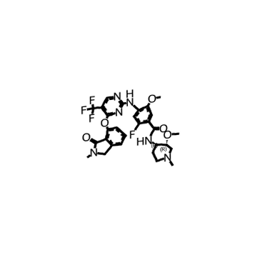 COc1cc(C(=O)N[C@@H]2CCN(C)C[C@H]2OC)c(F)cc1Nc1ncc(C(F)(F)F)c(Oc2cccc3c2C(=O)N(C)C3)n1